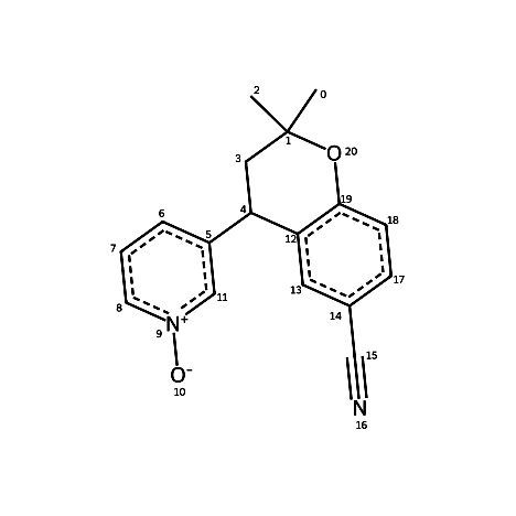 CC1(C)CC(c2ccc[n+]([O-])c2)c2cc(C#N)ccc2O1